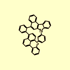 c1ccc(-n2c3ccccc3c3c4ccccc4c(-c4ccccc4-c4ccc5c6c(cccc46)-c4ccccc4S5)cc32)cc1